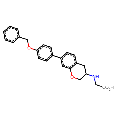 O=C(O)CNC1COc2cc(-c3ccc(OCc4ccccc4)cc3)ccc2C1